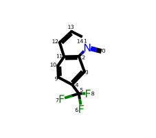 C=Nc1cc(C(F)(F)F)ccc1/C=C\C